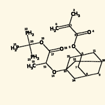 C=C(C)C(=O)OC12CC3CC(C1)CC(OC(C)C(=O)OC(P)(P)P)(C3)C2